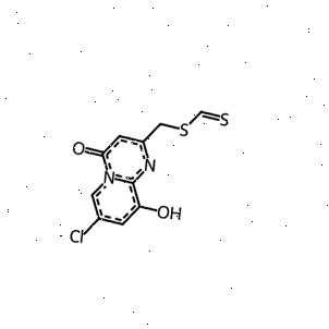 O=c1cc(CSC=S)nc2c(O)cc(Cl)cn12